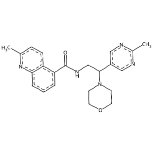 Cc1ccc2c(C(=O)NCC(c3cnc(C)nc3)N3CCOCC3)cccc2n1